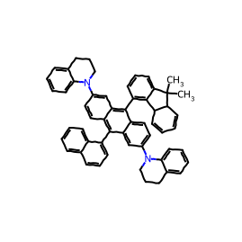 CC1(C)c2cccc(-c3c4cc(N5CCCc6ccccc65)ccc4c(-c4cccc5ccccc45)c4cc(N5CCCc6ccccc65)ccc34)c2C2C=CC=CC21